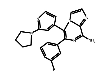 Nc1nc(-c2cccc(F)c2)c(-c2ccnc(N3CCCC3)c2)n2ccnc12